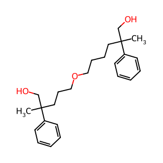 CC(CO)(CCCCOCCCC(C)(CO)c1ccccc1)c1ccccc1